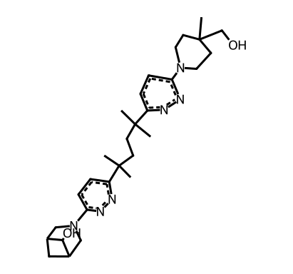 CC1(CO)CCN(c2ccc(C(C)(C)CCC(C)(C)c3ccc(N4CC5CC(C4)C5O)nn3)nn2)CC1